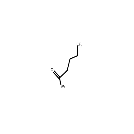 CC(C)C(=O)CCCC(F)(F)F